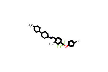 CCc1ccc(OC(F)(F)c2ccc(/C=C/C3CCC(C4CCC(C)CC4)CC3)c(C(F)(F)F)c2F)cc1